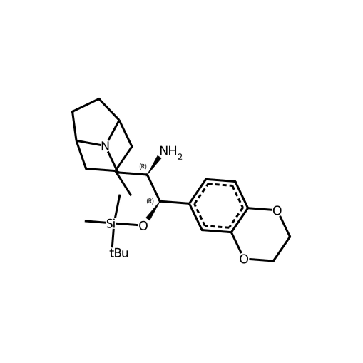 CC1CC2CCC(C1)N2C[C@@H](N)[C@H](O[Si](C)(C)C(C)(C)C)c1ccc2c(c1)OCCO2